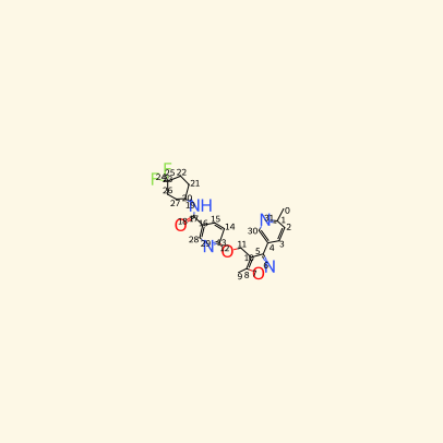 Cc1ccc(-c2noc(C)c2COc2ccc(C(=O)NC3CCC(F)(F)CC3)cn2)cn1